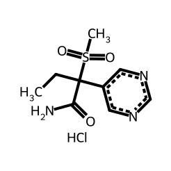 CCC(C(N)=O)(c1cncnc1)S(C)(=O)=O.Cl